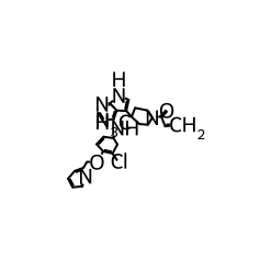 C=CC(=O)N1CCC(C)(c2c[nH]c3ncnc(NC4C=CC(OCc5ccccn5)=C(Cl)C4)c23)CC1